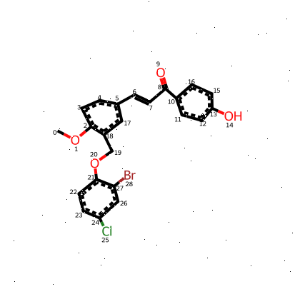 COc1ccc(/C=C/C(=O)c2ccc(O)cc2)cc1COc1ccc(Cl)cc1Br